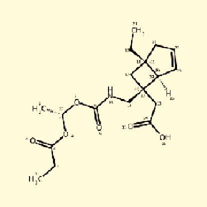 CCC(=O)O[C@H](C)OC(=O)NC[C@@]1(CC(=O)O)C[C@]2(CC)CC=C[C@H]21